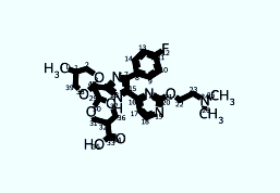 CC1COC(c2nc(-c3ccc(F)cc3)c(-c3ccnc(OCCN(C)C)n3)[nH]2)(C2OCC(C(=O)O)CO2)OC1